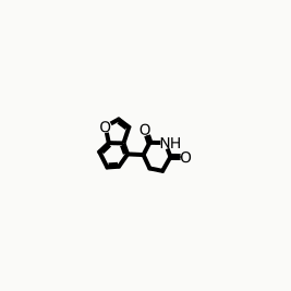 O=C1CCC(c2cccc3occc23)C(=O)N1